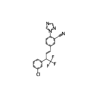 N#Cc1cc(/C=C/C(c2cccc(Cl)c2)C(F)(F)F)ccc1-n1cncn1